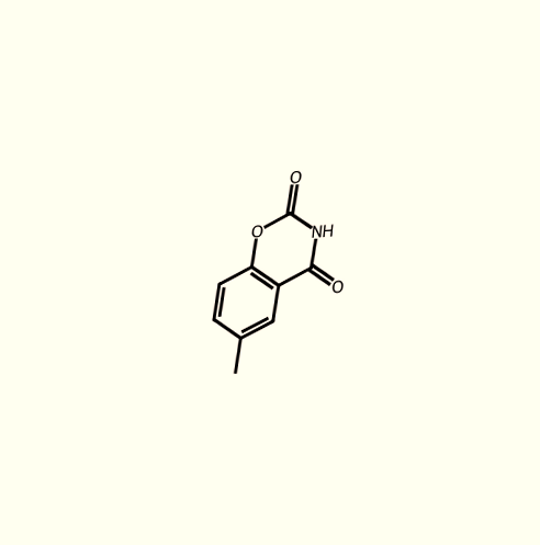 Cc1ccc2oc(=O)[nH]c(=O)c2c1